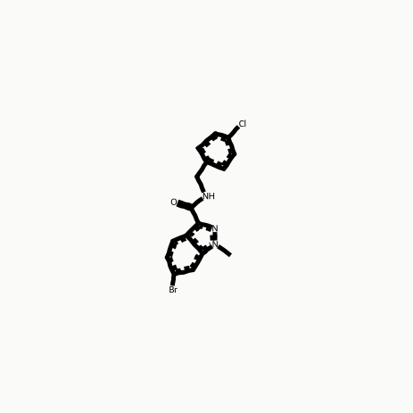 Cn1nc(C(=O)NCc2ccc(Cl)cc2)c2ccc(Br)cc21